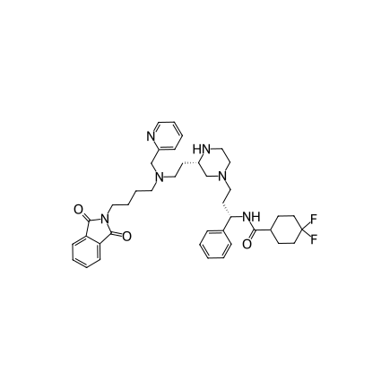 O=C(N[C@@H](CCN1CCN[C@@H](CCN(CCCCN2C(=O)c3ccccc3C2=O)Cc2ccccn2)C1)c1ccccc1)C1CCC(F)(F)CC1